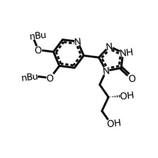 CCCCOc1cnc(-c2n[nH]c(=O)n2C[C@H](O)CO)cc1OCCCC